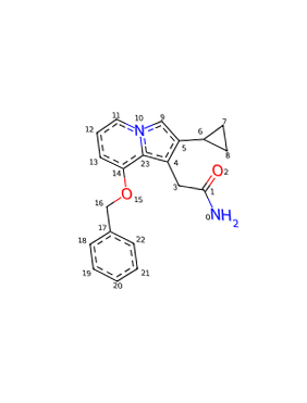 NC(=O)Cc1c(C2CC2)cn2cccc(OCc3ccccc3)c12